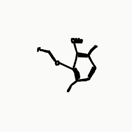 COc1c(C)ccc(C)c1OCF